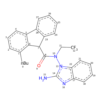 CCCCc1cccc2c1C(C(=O)N(CC(F)(F)F)n1c(N)nc3ccccc31)c1ccccc1-2